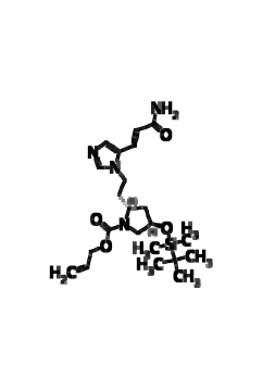 C=CCOC(=O)N1C[C@H](O[Si](C)(C)C(C)(C)C)C[C@H]1CCn1cncc1C=CC(N)=O